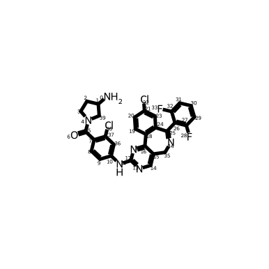 NC1CCN(C(=O)c2ccc(Nc3ncc4c(n3)-c3ccc(Cl)cc3C(c3c(F)cccc3F)=NC4)cc2Cl)C1